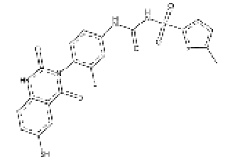 Cc1ccc(S(=O)(=O)NC(=O)Nc2ccc(-n3c(=O)[nH]c4ccc(S)cc4c3=O)c(F)c2)s1